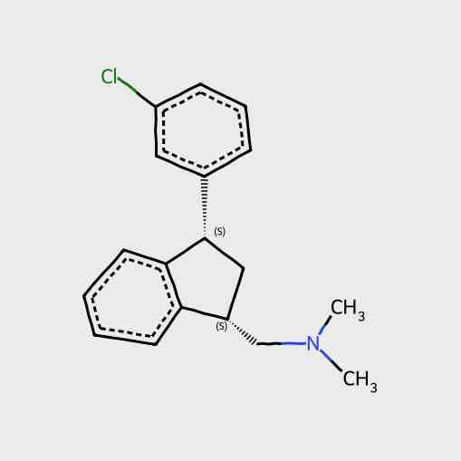 CN(C)C[C@H]1C[C@@H](c2cccc(Cl)c2)c2ccccc21